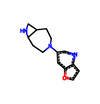 c1cc2ncc(N3CCC4CNC4CC3)cc2o1